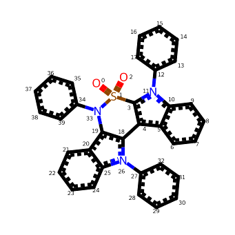 O=S1(=O)c2c(c3ccccc3n2-c2ccccc2)-c2c(c3ccccc3n2-c2ccccc2)N1c1ccccc1